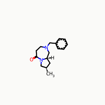 C[C@@H]1C[C@H]2CN(Cc3ccccc3)CCC(=O)N2C1